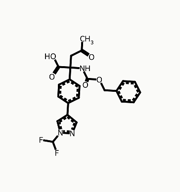 CC(=O)CC(NC(=O)OCc1ccccc1)(C(=O)O)c1ccc(-c2cnn(C(F)F)c2)cc1